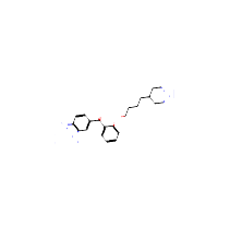 Nc1ccc(C(=O)c2ccccc2OCCCCC2CCNCC2)cc1N